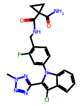 Cn1nnc(-c2c(Cl)c3ccccc3n2-c2ccc(CNC(=O)C3(C(N)=O)CC3)c(F)c2)n1